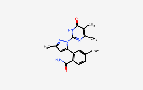 COc1ccc(C(N)=O)c(-c2cc(C)nn2-c2nc(C)c(C)c(=O)[nH]2)c1